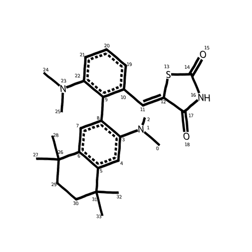 CN(C)c1cc2c(cc1-c1c(C=C3SC(=O)NC3=O)cccc1N(C)C)C(C)(C)CCC2(C)C